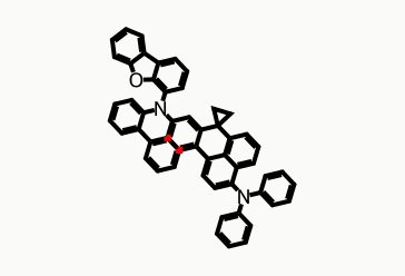 c1ccc(-c2ccccc2N(c2ccc3c(c2)C2(CC2)c2cccc4c(N(c5ccccc5)c5ccccc5)ccc-3c24)c2cccc3c2oc2ccccc23)cc1